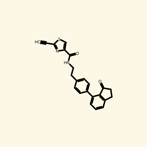 C#Cc1nc(C(=O)NCCc2ccc(-c3cccc4c3C(=O)CC4)cc2)cs1